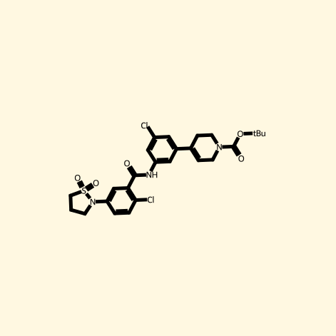 CC(C)(C)OC(=O)N1CC=C(c2cc(Cl)cc(NC(=O)c3cc(N4CCCS4(=O)=O)ccc3Cl)c2)CC1